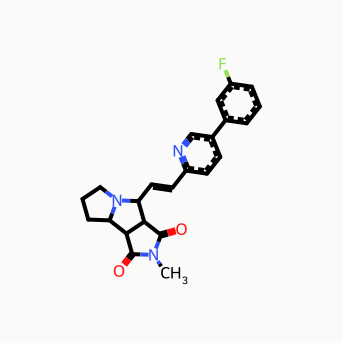 CN1C(=O)C2C(C1=O)C1CCCN1C2C=Cc1ccc(-c2cccc(F)c2)cn1